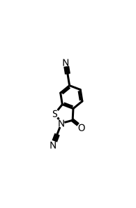 N#Cc1ccc2c(=O)n(C#N)sc2c1